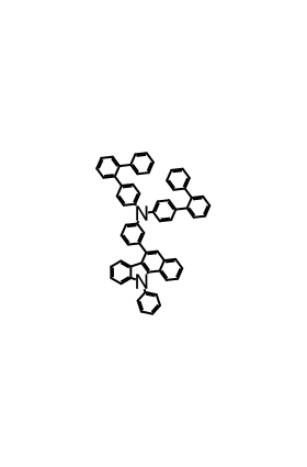 c1ccc(-c2ccccc2-c2ccc(N(c3ccc(-c4ccccc4-c4ccccc4)cc3)c3cccc(-c4cc5ccccc5c5c4c4ccccc4n5-c4ccccc4)c3)cc2)cc1